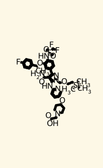 C[C@H](Oc1cc(-c2nn(COCC[Si](C)(C)C)c(Nc3ccc(OC4CCN(CC(=O)O)CC4)cn3)c2C(N)=O)ccc1NS(=O)(=O)C(F)F)c1ccc(F)cc1